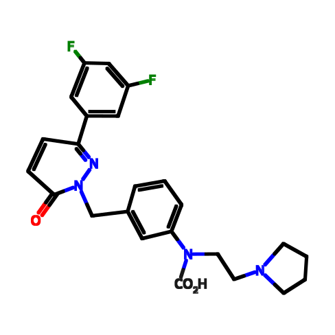 O=C(O)N(CCN1CCCC1)c1cccc(Cn2nc(-c3cc(F)cc(F)c3)ccc2=O)c1